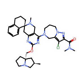 C[C@H]1CN2CCC[C@@]2(COc2nc3c(c(N4CCCn5nc(C(=O)N(C)C)c(Cl)c5C4)n2)CN(C)[C@]2(CCCc4ccccc42)C3)C1